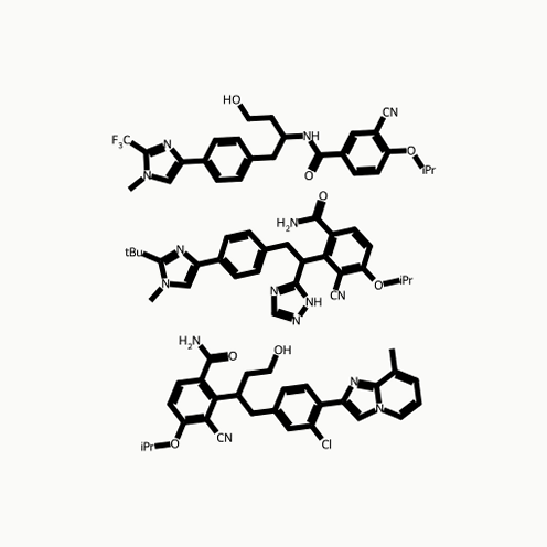 CC(C)Oc1ccc(C(=O)NC(CCO)Cc2ccc(-c3cn(C)c(C(F)(F)F)n3)cc2)cc1C#N.CC(C)Oc1ccc(C(N)=O)c(C(Cc2ccc(-c3cn(C)c(C(C)(C)C)n3)cc2)c2ncn[nH]2)c1C#N.Cc1cccn2cc(-c3ccc(CC(CCO)c4c(C(N)=O)ccc(OC(C)C)c4C#N)cc3Cl)nc12